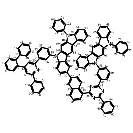 c1ccc(-c2cc(-c3ccccc3-c3ccccc3)cc(-c3cccc(-n4c5ccc(-c6ccc7c(-c8nc(-c9ccccc9)nc(-c9cccc(-n%10c%11ccccc%11c%11cc%12c%13ccccc%13n(-c%13ccccc%13)c%12cc%11%10)c9)n8)cccc7c6)cc5c5cc6c7ccccc7n(-c7ccccc7)c6cc54)c3)n2)cc1